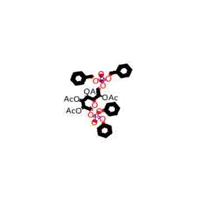 CC(=O)OC1C(OC(C)=O)[C@H](OC(C)=O)C([C@@H](COP(=O)(OCc2ccccc2)OCc2ccccc2)OC(C)=O)O[C@@H]1OP(=O)(Oc1ccccc1)Oc1ccccc1